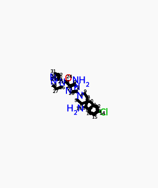 Nc1nc(N2CCC3(CC2)Cc2cc(Cl)ccc2[C@H]3N)cnc1C(=O)N1CCCn2nccc21